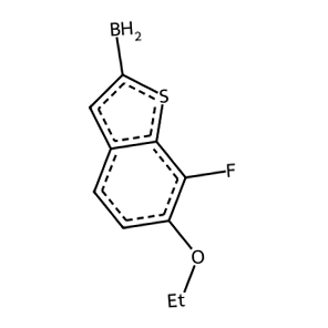 Bc1cc2ccc(OCC)c(F)c2s1